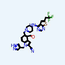 N#Cc1cc2c(C=O)c(CN3CCC(Nc4ncnc5sc(CC(F)(F)F)cc45)CC3)ccc2n1Cc1cn[nH]c1